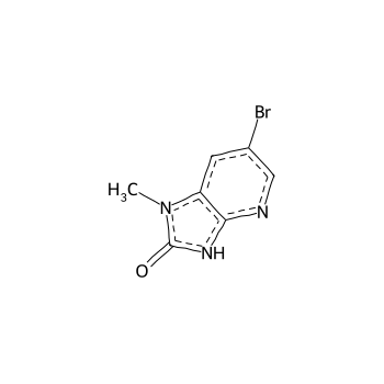 Cn1c(=O)[nH]c2ncc(Br)cc21